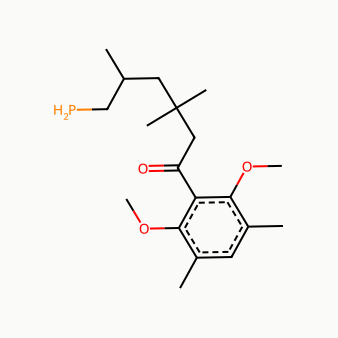 COc1c(C)cc(C)c(OC)c1C(=O)CC(C)(C)CC(C)CP